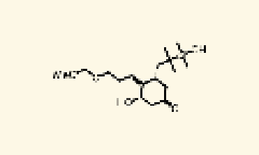 COCOCCC=C1[C@H](CC(C)(C)[Si](C)(C)O)CC(=O)C[C@H]1O